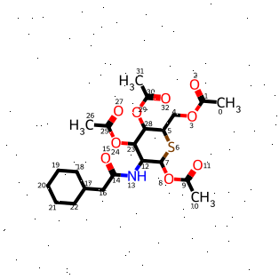 CC(=O)OCC1SC(OC(C)=O)C(NC(=O)CC2CCCCC2)C(OC(C)=O)C1OC(C)=O